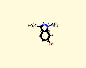 Cn1nc(C(=O)O)c2ccc(Br)cc21